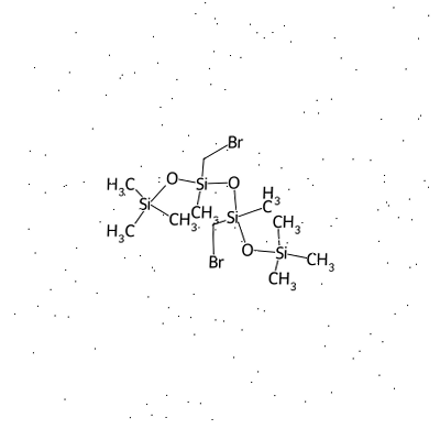 C[Si](C)(C)O[Si](C)(CBr)O[Si](C)(CBr)O[Si](C)(C)C